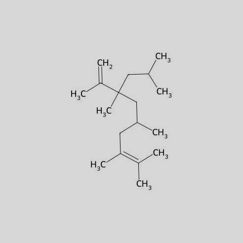 C=C(C)C(C)(CC(C)C)CC(C)CC(C)=C(C)C